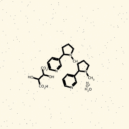 CN1CCCC1c1cccnc1.CN1CCCC1c1cccnc1.O.O.O=C(O)C(O)C(O)C(=O)O